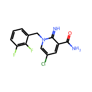 N=c1c(C(N)=O)cc(Cl)cn1Cc1cccc(F)c1F